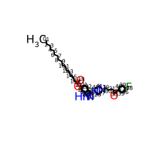 CCCCCCCCCCCCCCCCCC(=O)Oc1ccc2c(N3CCN(CCCC(=O)c4ccc(F)cc4)CC3)n[nH]c2c1